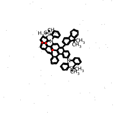 CC1(C)c2ccccc2-c2ccc(-c3c4cc(N5c6ccccc6[Si](C)(C)c6ccccc65)ccc4c(-c4ccccc4-c4ccc5ccccc5c4)c4cc(N5c6ccccc6[Si](C)(C)c6ccccc65)ccc34)cc21